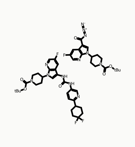 CC(C)(C)OC(=O)N1CCC(n2cc(C(=O)N=[N+]=[N-])c3cc(F)cnc32)CC1.CC(C)(C)OC(=O)N1CCC(n2cc(NC(=O)Nc3ccc(C4CCC(F)(F)CC4)nc3)c3cc(F)cnc32)CC1